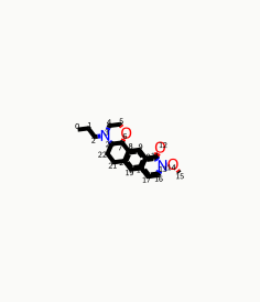 CCCN1CCOC2c3cc4c(=O)n(OC)ccc4cc3CCC21